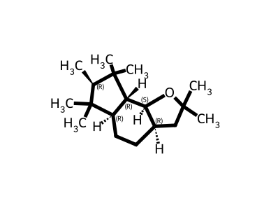 C[C@H]1C(C)(C)[C@@H]2[C@H]3OC(C)(C)C[C@H]3CC[C@H]2C1(C)C